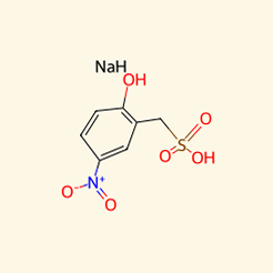 O=[N+]([O-])c1ccc(O)c(CS(=O)(=O)O)c1.[NaH]